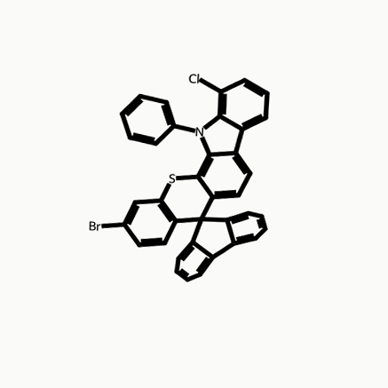 Clc1cccc2c3ccc4c(c3n(-c3ccccc3)c12)Sc1cc(Br)ccc1C41c2ccccc2-c2ccccc21